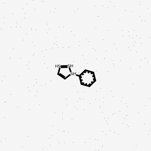 C1=C[SiH](c2ccccc2)[SiH]=[SiH]1